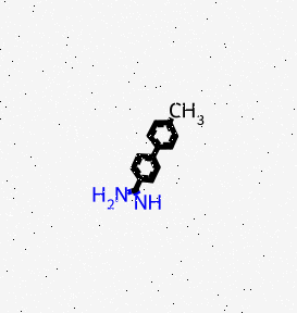 Cc1ccc(-c2ccc(C(=N)N)cc2)cc1